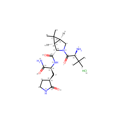 CC(C)(C)[C@H](N)C(=O)N1C[C@H]2[C@@H]([C@H]1C(=O)N[C@@H](C[C@@H]1CCNC1=O)C(N)=O)C2(C)C.Cl